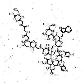 CC(C)C[C@H](NC(=O)CNC(=O)[C@H](C)NC(=O)[C@H](CO)NC(=O)[C@H](CO)NC(=O)[C@H](CC(C)C)NC(=O)[C@H](Cc1c[nH]cn1)NC(=O)[C@H](Cc1c[nH]cn1)NC(=O)[C@H](CO)NC(=O)[C@H](Cc1c[nH]c2ccccc12)NC(=O)[C@@H](NC(=O)[C@H](C)N)[C@@H](C)O)C(=O)NCC(=O)NCC(=O)NCC(=O)N[C@@H](CO)C(=O)O